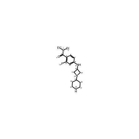 CCN(CC)C(=O)c1ccc(NC2CN(C3CCNCC3)C2)cc1F